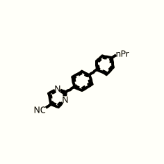 CCCc1ccc(-c2ccc(-c3ncc(C#N)cn3)cc2)cc1